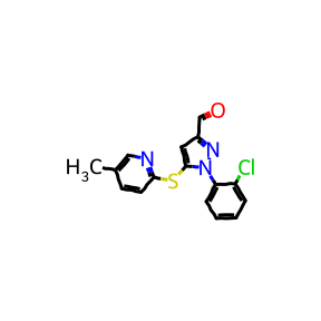 Cc1ccc(Sc2cc(C=O)nn2-c2ccccc2Cl)nc1